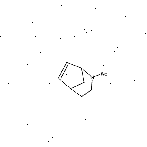 CC(=O)N1CCC2C=CC1C2